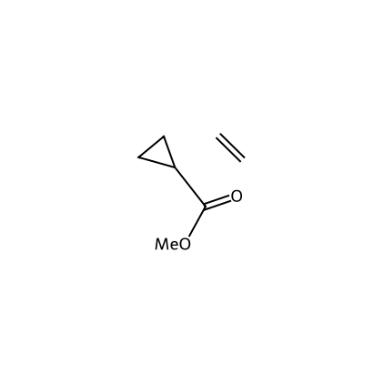 C=C.COC(=O)C1CC1